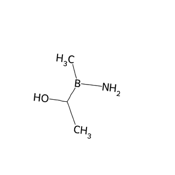 CB(N)C(C)O